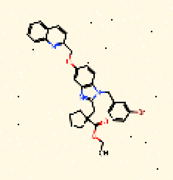 CCOC(=O)C1(Cc2nc3cc(OCc4ccc5ccccc5n4)ccc3n2Cc2cccc(Br)c2)CCCC1